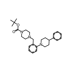 CC(C)(C)OC(=O)N1CCN(Cc2ccccc2N2CCC(c3ccccc3)CC2)CC1